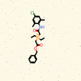 CC[PH](CC)(CC(=O)Nc1c(C)cc(Cl)cc1C)CC(=O)OCc1ccccc1